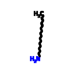 C=CC=CC=CCCCCCCCCCCCCN